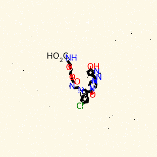 CC(C)N(CCN(C)C(=O)COCCOCCNC(=O)O)CC(C(=O)N1CCN(c2ncnc3c2[C@H](C)C[C@H]3O)CC1)c1ccc(Cl)cc1